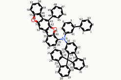 c1ccc(-c2cccc(N(c3ccc4c(c3)C3(c5ccccc5-c5ccccc53)c3ccccc3-4)c3cccc4c3oc3c(-c5ccccc5)c5c(cc34)oc3ccccc35)c2)cc1